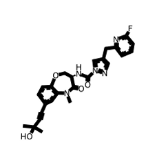 CN1C(=O)[C@@H](NC(=O)n2cc(Cc3cccc(F)n3)cn2)COc2ccc(C#CC(C)(C)O)cc21